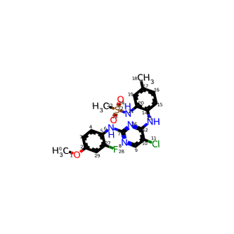 COc1ccc(Nc2ncc(Cl)c(Nc3ccc(C)cc3NS(C)(=O)=O)n2)c(F)c1